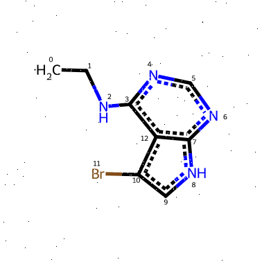 [CH2]CNc1ncnc2[nH]cc(Br)c12